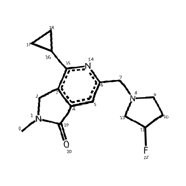 CN1Cc2c(cc(CN3CCC(F)C3)nc2C2CC2)C1=O